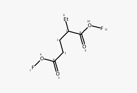 CCC(CCC(=O)OF)C(=O)OF